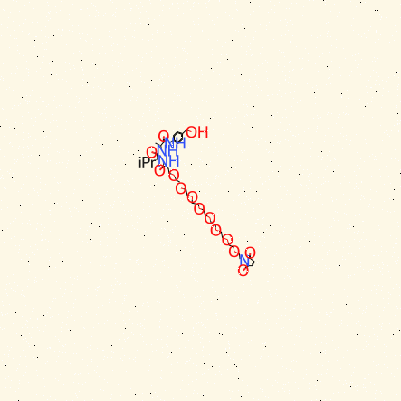 CC(C)[C@H](NC(=O)CCOCCOCCOCCOCCOCCOCCOCCOCCN1C(=O)C=CC1=O)C(=O)N[C@@H](C)C(=O)Nc1ccc(CO)cc1